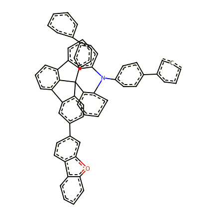 c1ccc(-c2ccc(N(c3ccc(-c4ccccc4)cc3)c3ccccc3C34c5ccccc5-c5cccc(c53)-c3cc(-c5ccc6c(c5)oc5ccccc56)ccc34)cc2)cc1